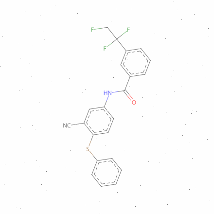 N#Cc1cc(NC(=O)c2cccc(C(F)(F)CF)c2)ccc1Sc1ccccc1